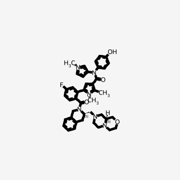 Cc1c(C(=O)N(c2ccc(O)cc2)c2ccn(C)c2)cc(-c2cc(F)ccc2C(=O)N2Cc3ccccc3C[C@H]2CN2CCN3CCOC[C@@H]3C2)n1C